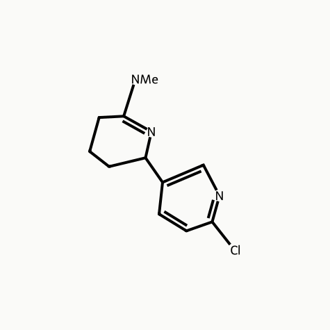 CNC1=NC(c2ccc(Cl)nc2)CCC1